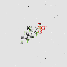 O=S(=O)([O-])CC(F)C(F)C(F)C(F)C(F)CF.[K+]